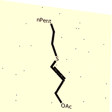 CCCCCCCSC=CCOC(C)=O